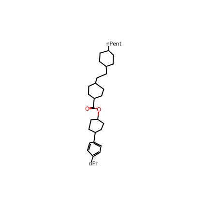 CCCCCC1CCC(CCC2CCC(C(=O)OC3CCC(c4ccc(CCC)cc4)CC3)CC2)CC1